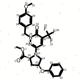 COC(=O)[C@@H]1C[C@H](Oc2ccccc2)CN1c1cc(C(F)(F)F)c(=O)n(Cc2ccc(OC)cc2)n1